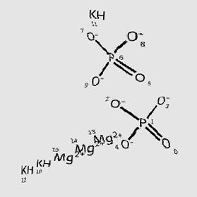 O=P([O-])([O-])[O-].O=P([O-])([O-])[O-].[KH].[KH].[KH].[Mg+2].[Mg+2].[Mg+2]